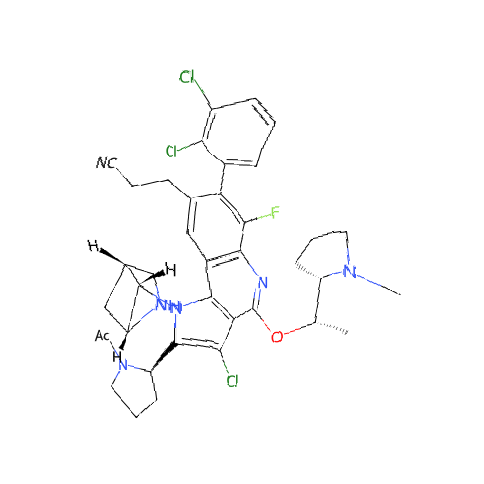 CC(=O)N1CCC[C@@H]1c1c(Cl)c2c(O[C@@H](C)[C@@H]3CCCN3C)nc3c(F)c(-c4cccc(Cl)c4Cl)c(CCC#N)cc3c2n1[C@H]1[C@H]2CN[C@@H]1C2